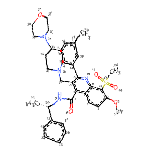 CC(C)Oc1ccc2c(C(=O)N[C@@H](C)c3ccccc3)c(CN3CCC(N4CCOCC4)CC3)c(-c3cccc(C(F)(F)F)c3)nc2c1S(C)(=O)=O